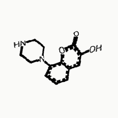 O=c1oc2c(N3CCNCC3)cccc2cc1O